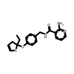 CCC1(Oc2ccc(CNC(=O)c3cccnc3N)cc2)CC=CS1